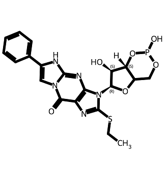 CCSc1nc2c(=O)n3cc(-c4ccccc4)[nH]c3nc2n1[C@@H]1OC2COP(O)O[C@H]2[C@@H]1O